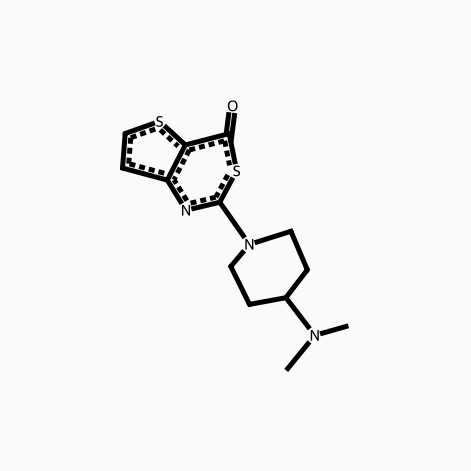 CN(C)C1CCN(c2nc3ccsc3c(=O)s2)CC1